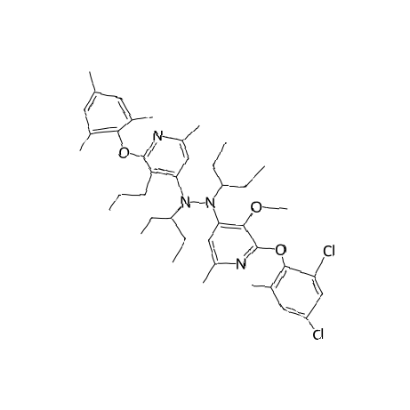 CCCc1c(N(C(CC)CC)N(c2cc(C)nc(Oc3c(C)cc(Cl)cc3Cl)c2OC)C(CC)CC)cc(C)nc1Oc1c(C)cc(C)cc1C